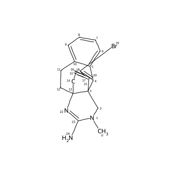 CN1CC23Cc4ccccc4CCC2(Cc2ccc(Br)cc23)N=C1N